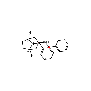 c1ccc(CN[C@H]2C[C@H]3CC[C@@H](C2)N3Cc2ccccc2)cc1